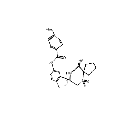 COc1ccc(C(=O)Nc2ccc(F)c([C@]3(C)CS(=O)(=O)C4(CCCC4)C(=N)N3)c2)nc1